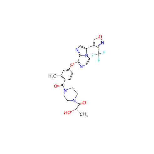 Cc1cc(Oc2nccn3c(-c4conc4C(F)(F)F)cnc23)ccc1C(=O)N1CCN(C(=O)[C@H](C)O)CC1